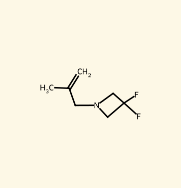 C=C(C)CN1CC(F)(F)C1